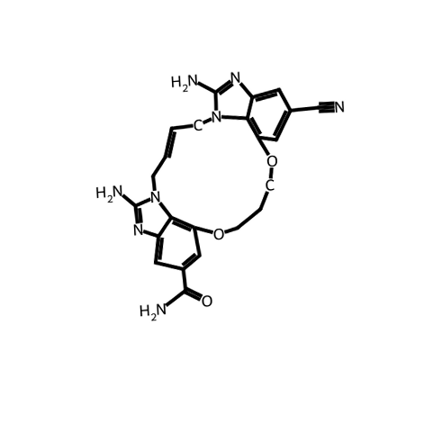 N#Cc1cc2c3c(c1)nc(N)n3C/C=C/Cn1c(N)nc3cc(C(N)=O)cc(c31)OCCCO2